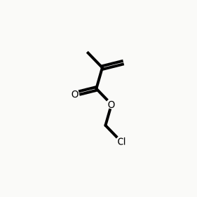 C=C(C)C(=O)OCCl